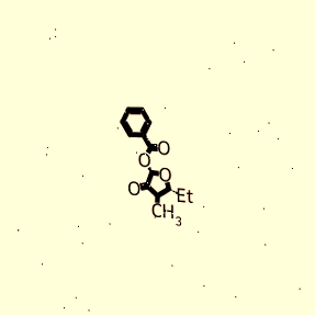 CC[C@H]1O[C@H](OC(=O)c2ccccc2)C(=O)C1C